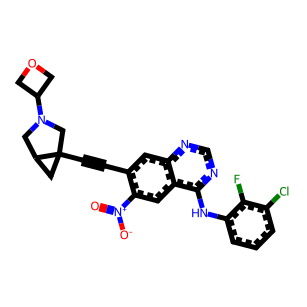 O=[N+]([O-])c1cc2c(Nc3cccc(Cl)c3F)ncnc2cc1C#CC12CC1CN(C1COC1)C2